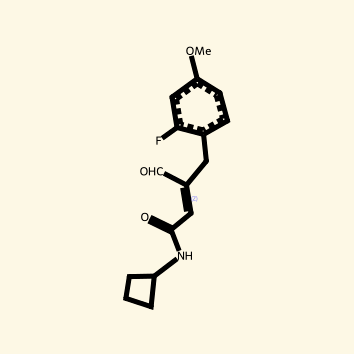 COc1ccc(C/C(C=O)=C/C(=O)NC2CCC2)c(F)c1